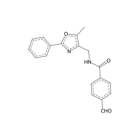 Cc1oc(-c2ccccc2)nc1CNC(=O)c1ccc(C=O)cc1